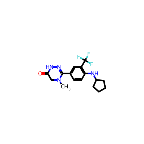 CN1CC(=O)NN=C1c1ccc(NC2CCCC2)c(C(F)(F)F)c1